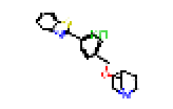 Cl.c1ccc2sc(-c3ccc(COC4CN5CCC4CC5)cc3)nc2c1